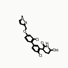 Cn1ccc(COc2ccc(-c3ccc(Cl)c(C4CCC(O)NC4=O)c3)c(Cl)c2)n1